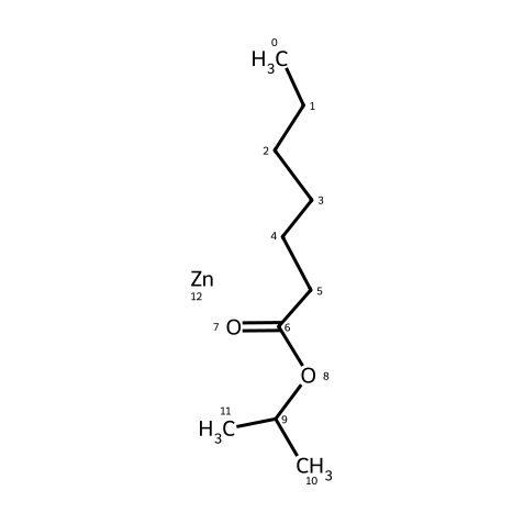 CCCCCCC(=O)OC(C)C.[Zn]